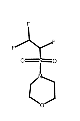 O=S(=O)(C(F)C(F)F)N1CCOCC1